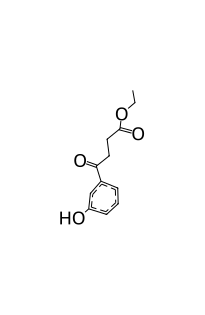 CCOC(=O)CCC(=O)c1cccc(O)c1